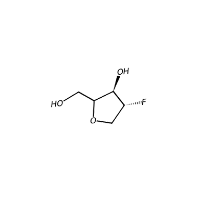 OCC1OC[C@@H](F)[C@@H]1O